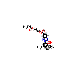 C=CC(=O)OCCCCOC(=O)c1ccc2nn(-c3cc(C)c(OC)c(C)c3O)nc2c1